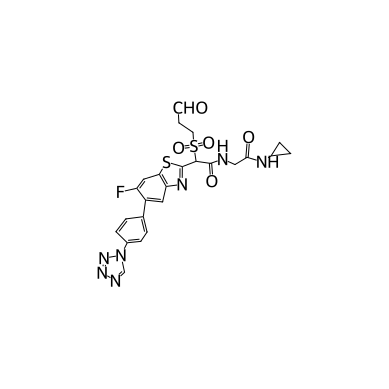 O=CCCS(=O)(=O)C(C(=O)NCC(=O)NC1CC1)c1nc2cc(-c3ccc(-n4cnnn4)cc3)c(F)cc2s1